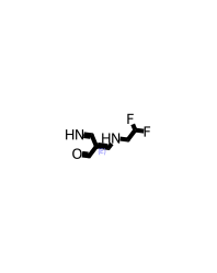 N=C/C(C=O)=C\NCC(F)F